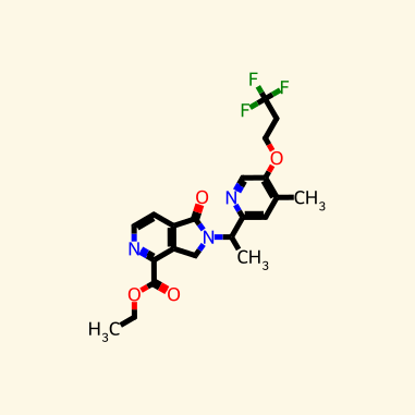 CCOC(=O)c1nccc2c1CN(C(C)c1cc(C)c(OCCC(F)(F)F)cn1)C2=O